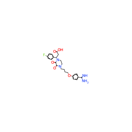 N=C(N)c1ccc(OCCCCN2CCN(C(CC(=O)O)c3ccc(F)cc3)C(=O)C2=O)cc1